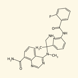 CN(c1ncnc2c(C(N)=O)cccc12)C(C)(CN)c1cccc(NC(=O)c2ccccc2F)c1